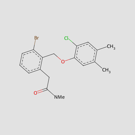 CNC(=O)Cc1cccc(Br)c1COc1cc(C)c(C)cc1Cl